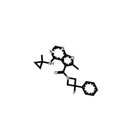 Cc1oc2ncnc(NC3(C)CC3)c2c1C(=O)N1CC(F)(c2ccccc2)C1